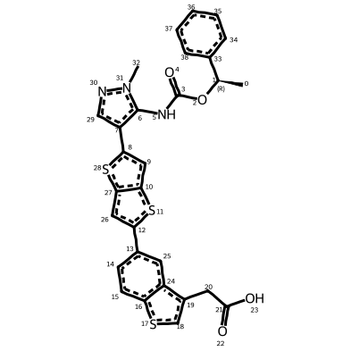 C[C@@H](OC(=O)Nc1c(-c2cc3sc(-c4ccc5scc(CC(=O)O)c5c4)cc3s2)cnn1C)c1ccccc1